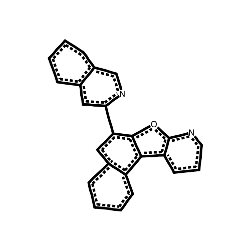 c1ccc2cc(-c3cc4ccccc4c4c3oc3ncccc34)ncc2c1